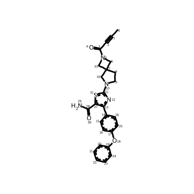 CC#CC(=O)N1CC2(CCN(c3nc(-c4ccc(Oc5ccccc5)cc4)c(C(N)=O)s3)C2)C1